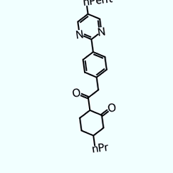 CCCCCc1cnc(-c2ccc(CC(=O)C3CCC(CCC)CC3=O)cc2)nc1